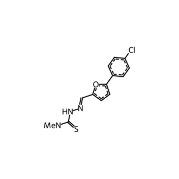 CNC(=S)N/N=C/c1ccc(-c2ccc(Cl)cc2)o1